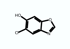 Oc1cc2ocnc2cc1Cl